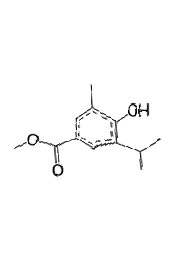 COC(=O)c1cc(C)c(O)c(C(C)C)c1